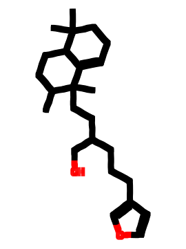 CC1CCC2C(=CCCC2(C)C)C1(C)CCC(CO)CCCc1ccoc1